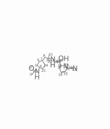 CC(=O)NC1CCC(CC(C)(C)NC[C@@H](O)c2cccc(C#N)n2)CC1